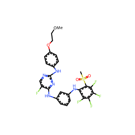 COCCOc1ccc(Nc2ncc(F)c(Nc3cccc(Nc4c(F)c(F)c(F)c(F)c4S(C)(=O)=O)c3)n2)cc1